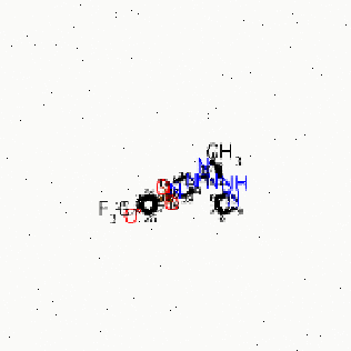 Cc1cc(Nc2ccccn2)nc(N2CCN(S(=O)(=O)c3ccc(OC(F)(F)F)cc3)CC2)n1